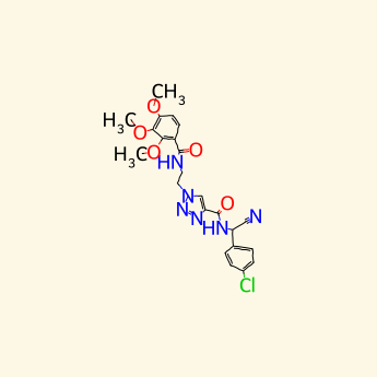 COc1ccc(C(=O)NCCn2cc(C(=O)NC(C#N)c3ccc(Cl)cc3)nn2)c(OC)c1OC